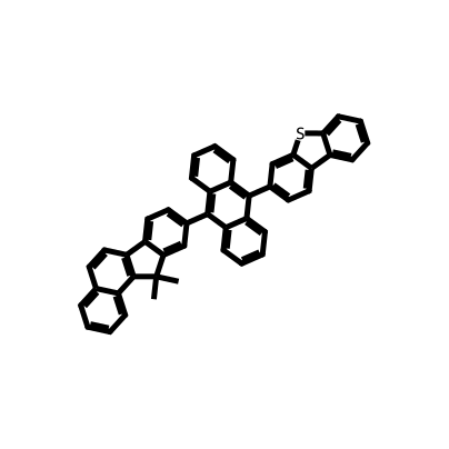 CC1(C)c2cc(-c3c4ccccc4c(-c4ccc5c(c4)sc4ccccc45)c4ccccc34)ccc2-c2ccc3ccccc3c21